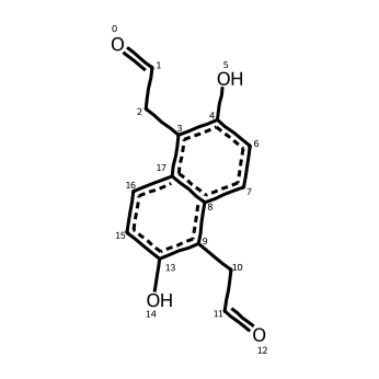 O=CCc1c(O)ccc2c(CC=O)c(O)ccc12